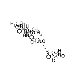 Cc1cc(Nc2ncc(Cl)c(Nc3ccccc3S(=O)(=O)C(C)C)n2)c(OC(C)C)cc1C1CCN(C(=O)CCCCCSc2cccc3c2C(=O)N(C2CCC(=O)NC2=O)C3=O)CC1